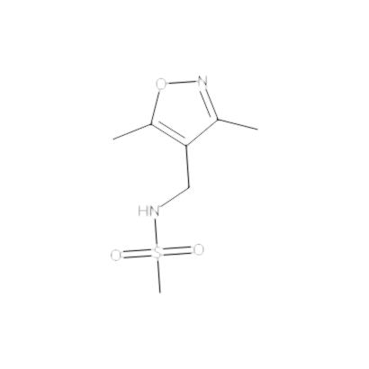 Cc1noc(C)c1CNS(C)(=O)=O